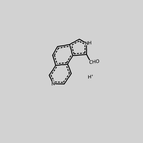 O=Cc1[nH]cc2ccc3cnccc3c12.[H+]